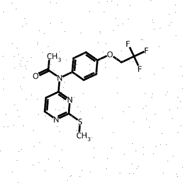 CSc1nccc(N(C(C)=O)c2ccc(OCC(F)(F)F)cc2)n1